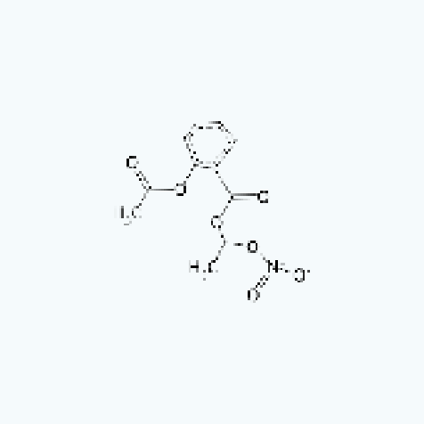 CC(=O)Oc1ccccc1C(=O)OC(C)O[N+](=O)[O-]